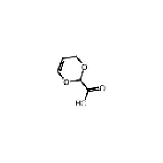 O=C(O)C1OC=CCO1